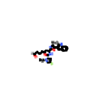 CCC(=O)CCCCCC(NC(=O)[C@@H]1C[C@H](F)CN1C)c1ncc(-c2cc3ccccc3nc2OC)o1